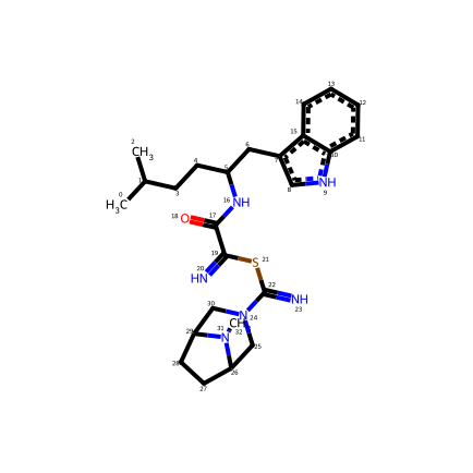 CC(C)CCC(Cc1c[nH]c2ccccc12)NC(=O)C(=N)SC(=N)N1CC2CCC(C1)N2C